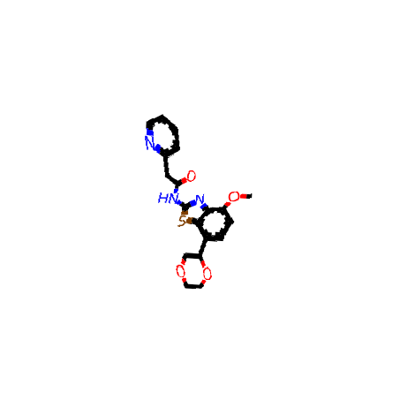 COc1ccc(C2COCCO2)c2sc(NC(=O)Cc3ccccn3)nc12